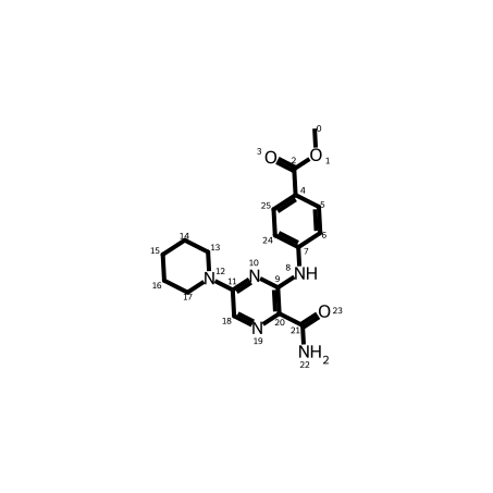 COC(=O)c1ccc(Nc2nc(N3CCCCC3)cnc2C(N)=O)cc1